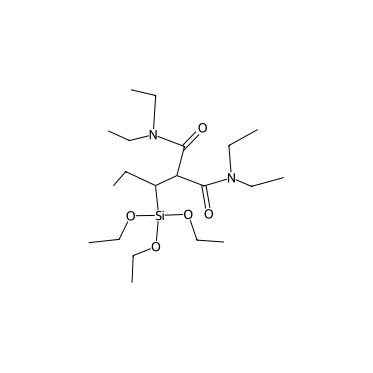 CCO[Si](OCC)(OCC)C(CC)C(C(=O)N(CC)CC)C(=O)N(CC)CC